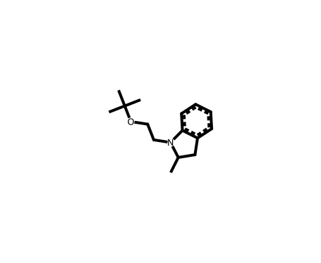 CC1Cc2ccccc2N1CCOC(C)(C)C